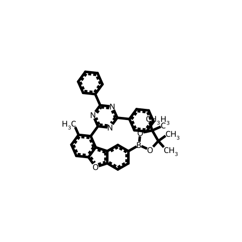 Cc1ccc2oc3ccc(B4OC(C)(C)C(C)(C)O4)cc3c2c1-c1nc(-c2ccccc2)nc(-c2ccccc2)n1